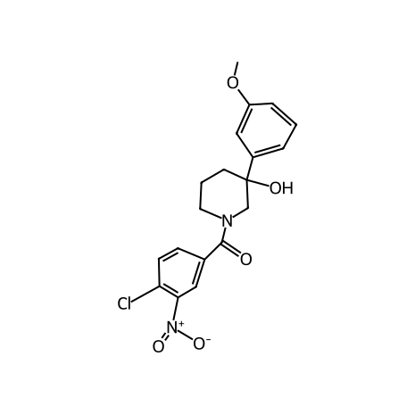 COc1cccc(C2(O)CCCN(C(=O)c3ccc(Cl)c([N+](=O)[O-])c3)C2)c1